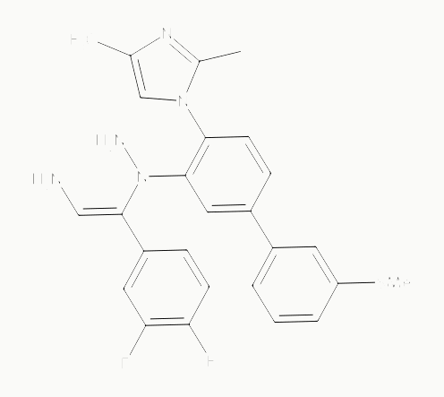 CSc1cccc(-c2ccc(-n3cc(C(F)(F)F)nc3C)c(N(N)/C(=C\N)c3ccc(F)c(F)c3)c2)c1